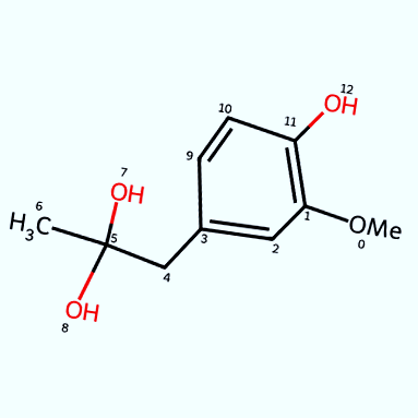 COc1cc(CC(C)(O)O)ccc1O